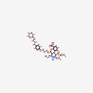 COC(=O)C1=C(C)NC(C)=C(C(=O)OCCCOc2ccc(CCCOC3CCCCO3)cc2)C1c1cccc([N+](=O)[O-])c1